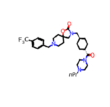 CCCN1CCN(C(=O)[C@H]2CC[C@H](CN3CC4(CCN(Cc5ccc(C(F)(F)F)cc5)CC4)OC3=O)CC2)CC1